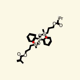 C=C(C)C(=O)OCCC[Si](C)(C)O[Si](O[Si](C)(C)CCCOC(=O)C(C)C)(c1ccccc1)c1ccccc1